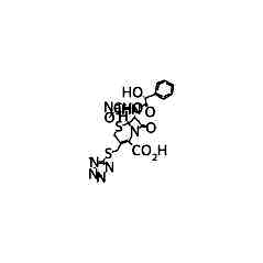 Cn1nnnc1SCC1=C(C(=O)O)N2C(=O)[C@@H](NC(=O)[C@H](O)c3ccccc3)[C@H]2SC1.O=C[O-].[Na+]